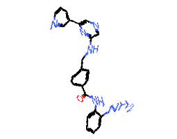 Nc1ccccc1NC(=O)c1ccc(CNc2cncc(-c3cccnc3)n2)cc1